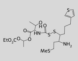 CCOC(=O)OC(C)OC(=O)C(NC(=O)SSC(CCCc1ccsc1)C(N)CCSC)C(C)O